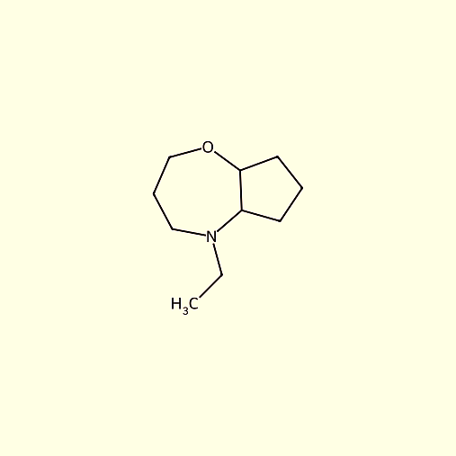 CCN1CCCOC2CCCC21